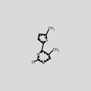 Cc1ccc(-c2nc(Cl)ncc2C)s1